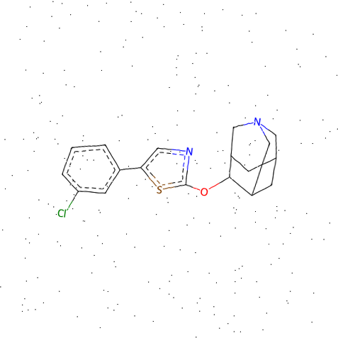 Clc1cccc(-c2cnc(OC3C4CC5CC3CN(C5)C4)s2)c1